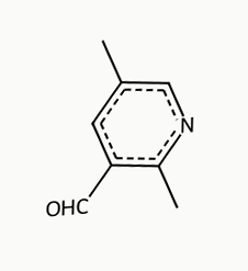 Cc1cnc(C)c(C=O)c1